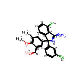 COc1c(C)cc(C2(c3cccc(Br)c3)N=C(N)c3c(F)cccc32)cc1CO